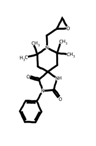 CC1(C)CC2(CC(C)(C)N1CC1CO1)NC(=O)N(c1ccccc1)C2=O